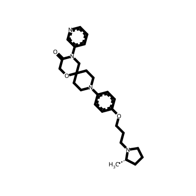 C[C@H]1CCCN1CCCOc1ccc(N2CCC3(CC2)CN(c2cccnc2)C(=O)CO3)cc1